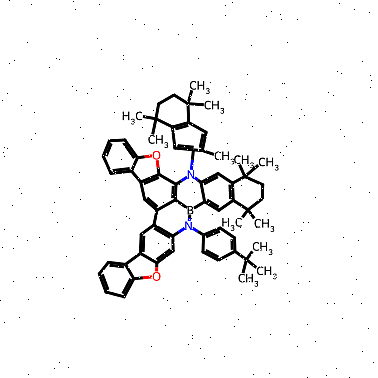 Cc1cc2c(cc1N1c3cc4c(cc3B3c5c(cc6c(oc7ccccc76)c51)-c1cc5c(cc1N3c1ccc(C(C)(C)C)cc1)oc1ccccc15)C(C)(C)CCC4(C)C)C(C)(C)CCC2(C)C